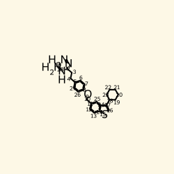 N/N=C(/CCc1ccc(OCc2ccc3scc(C4CCCCC4)c3c2)cc1)NN